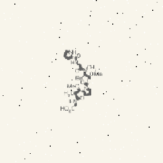 CC[C@H](C)C(C(CC(=O)N1CCC[C@H]1C(OC)C(C)C(=O)NCC(=O)O)OC)N(C)C(=O)CNC(=O)[C@@H]1CCCN1